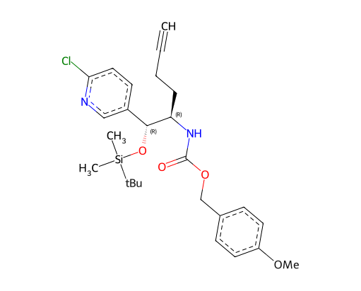 C#CCC[C@@H](NC(=O)OCc1ccc(OC)cc1)[C@H](O[Si](C)(C)C(C)(C)C)c1ccc(Cl)nc1